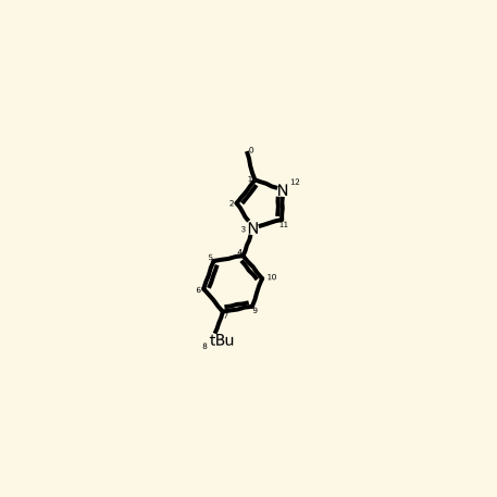 Cc1cn(-c2ccc(C(C)(C)C)cc2)cn1